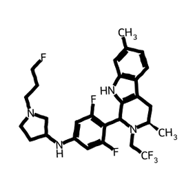 Cc1ccc2c3c([nH]c2c1)C(c1c(F)cc(NC2CCN(CCCF)C2)cc1F)N(CC(F)(F)F)[C@H](C)C3